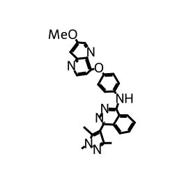 COc1cnc2c(Oc3ccc(Nc4nnc(-c5c(C)nn(C)c5C)c5ccccc45)cc3)ccnc2c1